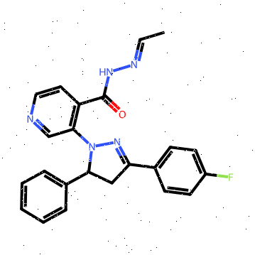 CC=NNC(=O)c1ccncc1N1N=C(c2ccc(F)cc2)CC1c1ccccc1